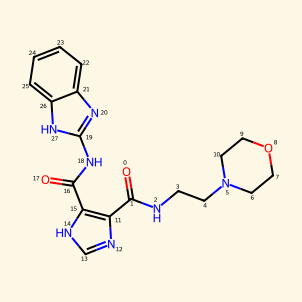 O=C(NCCN1CCOCC1)c1nc[nH]c1C(=O)Nc1nc2ccccc2[nH]1